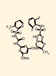 CC1=CCN2NC(S(=O)(=O)Nc3c(F)cccc3F)=NC2=N1.COc1cc(OC)nc(NC(=O)NS(=O)(=O)c2ncccc2C(F)(F)F)n1